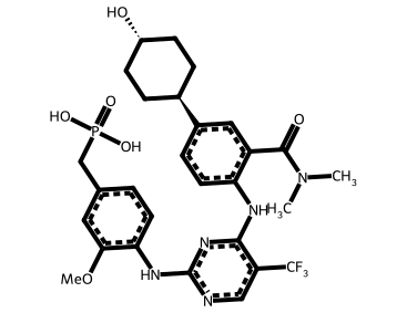 COc1cc(CP(=O)(O)O)ccc1Nc1ncc(C(F)(F)F)c(Nc2ccc([C@H]3CC[C@H](O)CC3)cc2C(=O)N(C)C)n1